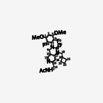 COc1cc(OC)c(F)c(N2Cc3cnc(CNC(C)=O)cc3N(CC3CCC3)C2=O)c1F